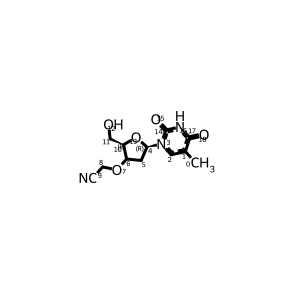 Cc1cn([C@H]2CC(OCC#N)[C@@H](CO)O2)c(=O)[nH]c1=O